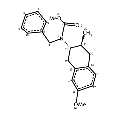 COC(=O)N(Cc1ccccc1)[C@H]1Cc2cc(OC)ccc2C[C@@H]1C